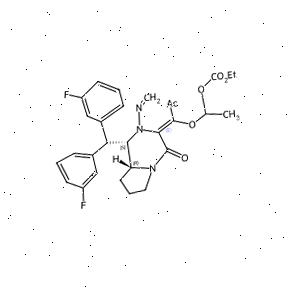 C=NN1/C(=C(/OC(C)OC(=O)OCC)C(C)=O)C(=O)N2CCC[C@@H]2[C@@H]1C(c1cccc(F)c1)c1cccc(F)c1